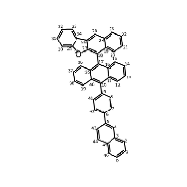 c1ccc2cc(-c3ccc(-c4c5ccccc5c(-c5c6ccccc6cc6c5oc5ccccc56)c5ccccc45)cc3)ccc2c1